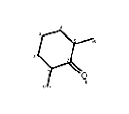 [CH2]C1CCCC(C)C1=O